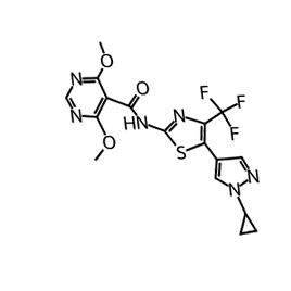 COc1ncnc(OC)c1C(=O)Nc1nc(C(F)(F)F)c(-c2cnn(C3CC3)c2)s1